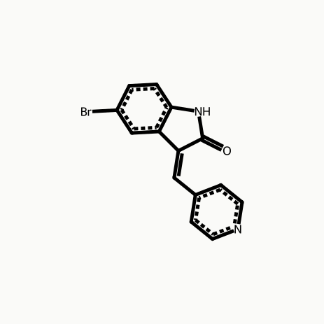 O=C1Nc2ccc(Br)cc2C1=Cc1ccncc1